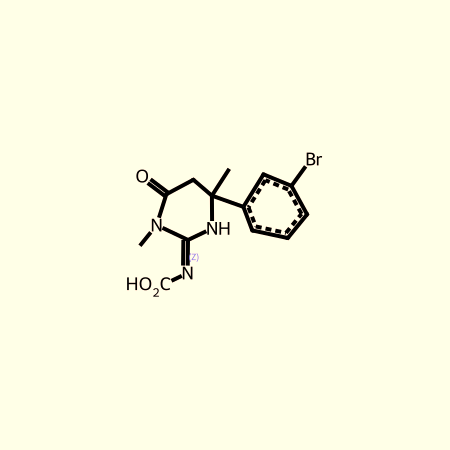 CN1C(=O)CC(C)(c2cccc(Br)c2)N/C1=N/C(=O)O